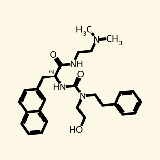 CN(C)CCNC(=O)[C@H](Cc1ccc2ccccc2c1)NC(=O)N(CCO)CCc1ccccc1